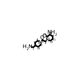 NCC1CCN(C(=O)CN2CCC[C@H](N)C2=O)CC1